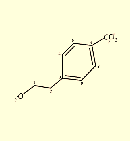 [O]CCc1ccc(C(Cl)(Cl)Cl)cc1